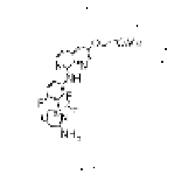 COCCOc1cnc2c(Nc3ccc(F)c([C@]4(C(F)F)COCC(N)=N4)c3)nccc2c1